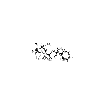 CC(C)(C)CC(C)(C(=O)OC(C)(C)c1ccccc1)C(C)(C)C